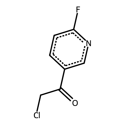 O=C(CCl)c1ccc(F)nc1